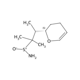 CC([C@@H]1CCC=CO1)C(C)(C)[S+](N)[O-]